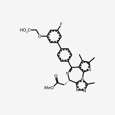 COC(=O)C[C@@H]1N=C(c2ccc(-c3cc(F)cc(OCC(=O)O)c3)cc2)c2c(sc(C)c2C)-n2c(C)nnc21